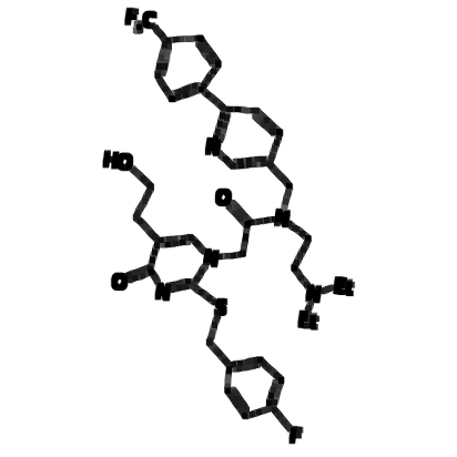 CCN(CC)CCN(Cc1ccc(-c2ccc(C(F)(F)F)cc2)nc1)C(=O)Cn1cc(CCO)c(=O)nc1SCc1ccc(F)cc1